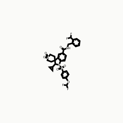 O=C(NCc1ccccc1C(F)F)c1ccc2c(c1)C1(CCS(=O)(=O)CC1)C(C1CC1)N2S(=O)(=O)c1ccc(OC(F)F)cc1